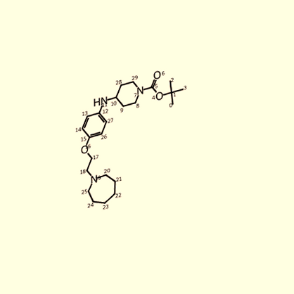 CC(C)(C)OC(=O)N1CCC(Nc2ccc(OCCN3CCCCCC3)cc2)CC1